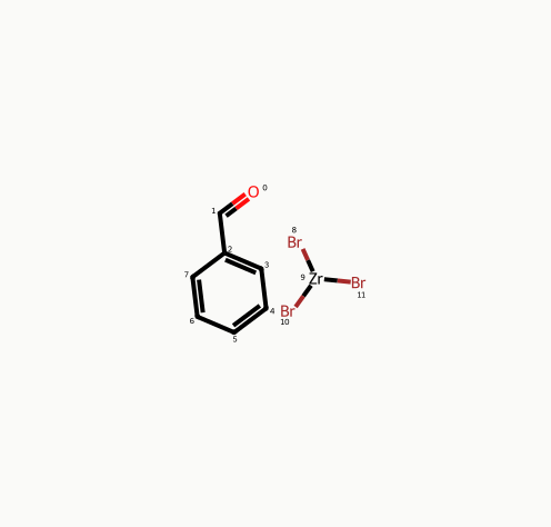 O=Cc1ccccc1.[Br][Zr]([Br])[Br]